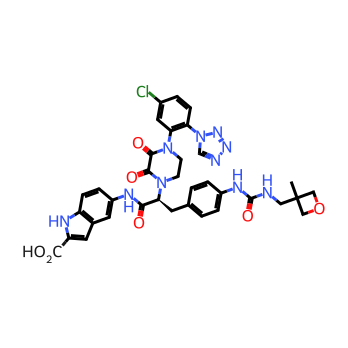 CC1(CNC(=O)Nc2ccc(C[C@@H](C(=O)Nc3ccc4[nH]c(C(=O)O)cc4c3)N3CCN(c4cc(Cl)ccc4-n4cnnn4)C(=O)C3=O)cc2)COC1